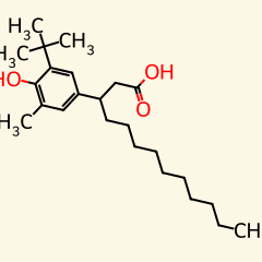 CCCCCCCCCCC(CC(=O)O)c1cc(C)c(O)c(C(C)(C)C)c1